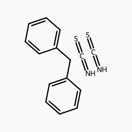 N=C=S.N=C=S.c1ccc(Cc2ccccc2)cc1